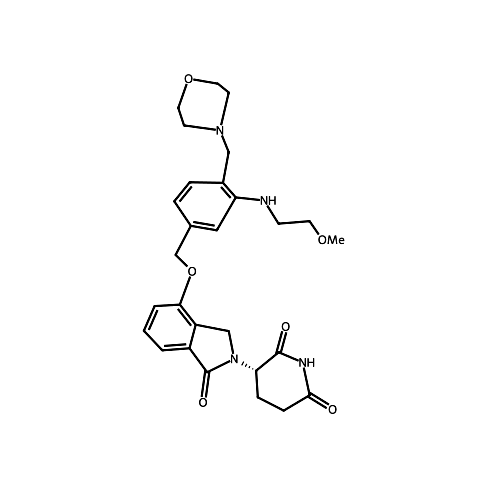 COCCNc1cc(COc2cccc3c2CN([C@H]2CCC(=O)NC2=O)C3=O)ccc1CN1CCOCC1